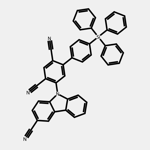 N#Cc1ccc2c(c1)c1ccccc1n2-c1cc(-c2ccc([Si](c3ccccc3)(c3ccccc3)c3ccccc3)cc2)c(C#N)cc1C#N